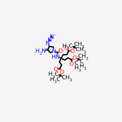 CC(C)(C)OC(=O)CCC(CCC(=O)OC(C)(C)C)(CCC(=O)OC(C)(C)C)NC(=O)N1CC(N=[N+]=[N-])[C@H](N)C1